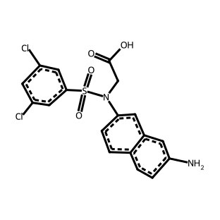 Nc1ccc2ccc(N(CC(=O)O)S(=O)(=O)c3cc(Cl)cc(Cl)c3)cc2c1